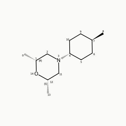 C[C@@H]1CN([C@H]2CC[C@H](C)CC2)C[C@H](C)O1